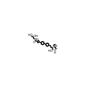 C[C@H](O)c1nccn1C(/C=C/c1ccc(-c2ccc(C3CC(C(=O)NCC(O)CO)C3)cc2)cc1)CO